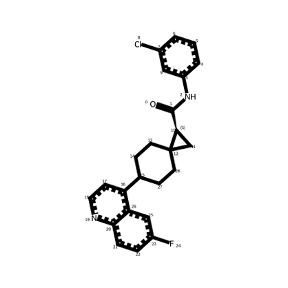 O=C(Nc1cccc(Cl)c1)[C@H]1CC12CCC(c1ccnc3ccc(F)cc13)CC2